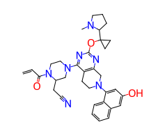 C=CC(=O)N1CCN(c2nc(OC3(C4CCCN4C)CC3)nc3c2CCN(c2cc(O)cc4ccccc24)C3)CC1CC#N